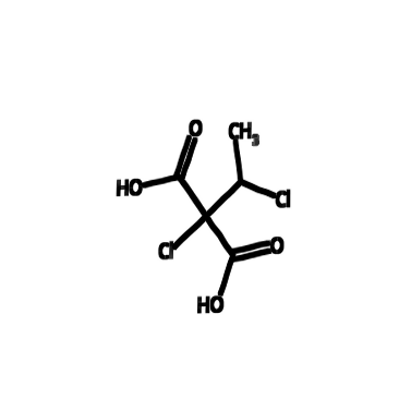 CC(Cl)C(Cl)(C(=O)O)C(=O)O